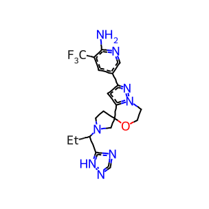 CCC(c1ncn[nH]1)N1CCC2(C1)OCCn1nc(-c3cnc(N)c(C(F)(F)F)c3)cc12